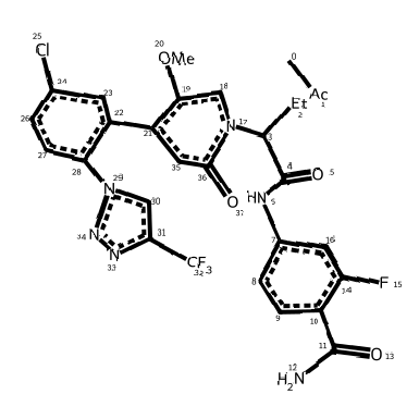 CC(C)=O.CCC(C(=O)Nc1ccc(C(N)=O)c(F)c1)n1cc(OC)c(-c2cc(Cl)ccc2-n2cc(C(F)(F)F)nn2)cc1=O